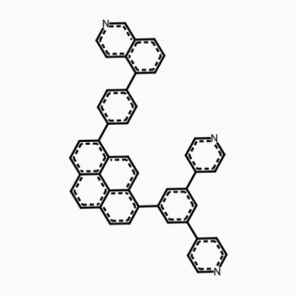 c1cc(-c2ccc(-c3ccc4ccc5ccc(-c6cc(-c7ccncc7)cc(-c7ccncc7)c6)c6ccc3c4c56)cc2)c2ccncc2c1